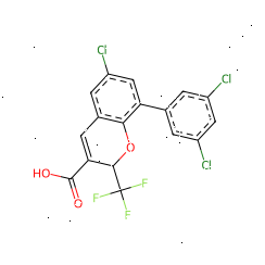 O=C(O)C1=Cc2cc(Cl)cc(-c3cc(Cl)cc(Cl)c3)c2OC1C(F)(F)F